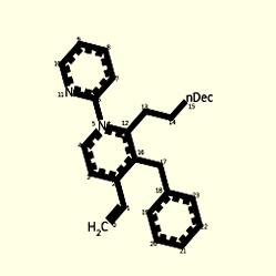 C=Cc1cc[n+](-c2ccccn2)c(CCCCCCCCCCCC)c1Cc1ccccc1